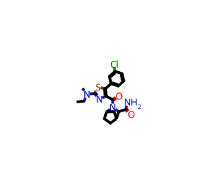 CCN(C)c1nc(C(=O)N2C3CCC(C3)C2C(N)=O)c(-c2cccc(Cl)c2)s1